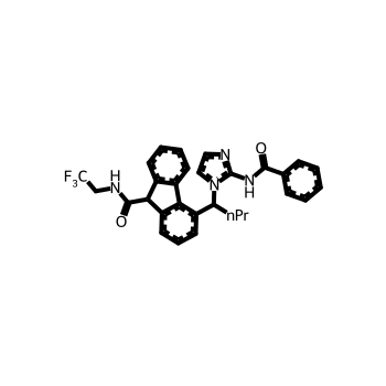 CCCC(c1cccc2c1-c1ccccc1C2C(=O)NCC(F)(F)F)n1ccnc1NC(=O)c1ccccc1